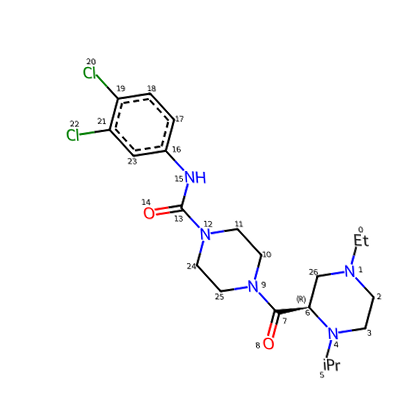 CCN1CCN(C(C)C)[C@@H](C(=O)N2CCN(C(=O)Nc3ccc(Cl)c(Cl)c3)CC2)C1